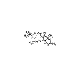 CC(=O)Oc1c(OCC=C(C)CCC=C(C)C)c2ccc(N)cc2n(C)c1=O